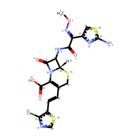 CON=C(C(=O)NC1C(=O)N2C(C(=O)O)=C(C=Cc3scnc3Cl)CS[C@@H]12)c1csc(N)n1